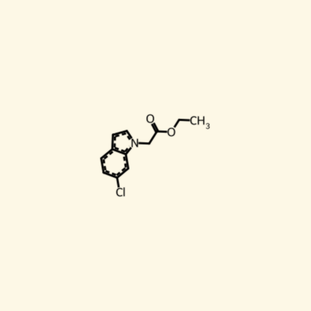 CCOC(=O)Cn1ccc2ccc(Cl)cc21